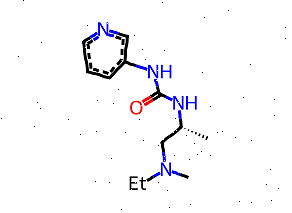 CCN(C)C[C@@H](C)NC(=O)Nc1cccnc1